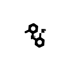 Cc1ccccc1[N-]c1ccccc1C.[K+]